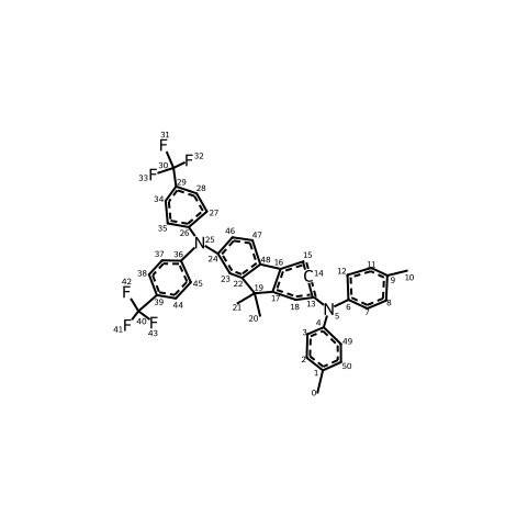 Cc1ccc(N(c2ccc(C)cc2)c2ccc3c(c2)C(C)(C)c2cc(N(c4ccc(C(F)(F)F)cc4)c4ccc(C(F)(F)F)cc4)ccc2-3)cc1